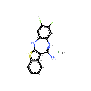 NC1=Nc2cc(F)c(F)cc2Nc2sc3ccccc3c21.[Cl-].[H+]